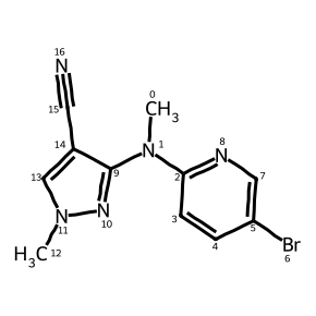 CN(c1ccc(Br)cn1)c1nn(C)cc1C#N